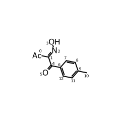 CC(=O)C(=NO)C(=O)c1ccc(C)cc1